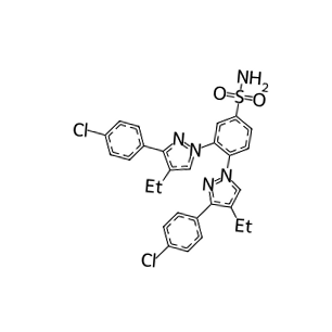 CCc1cn(-c2ccc(S(N)(=O)=O)cc2-n2cc(CC)c(-c3ccc(Cl)cc3)n2)nc1-c1ccc(Cl)cc1